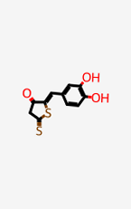 O=C1CC(=S)S/C1=C\c1ccc(O)c(O)c1